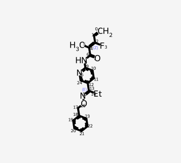 C=C/C(F)=C(\C)C(=O)Nc1ccc(/C(CC)=N/OCc2ccccc2)cn1